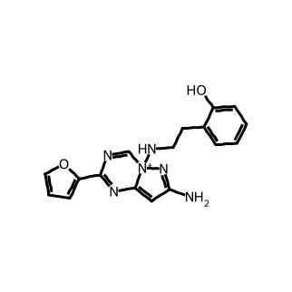 NC1=N[N+]2(NCCc3ccccc3O)C=NC(c3ccco3)=NC2=C1